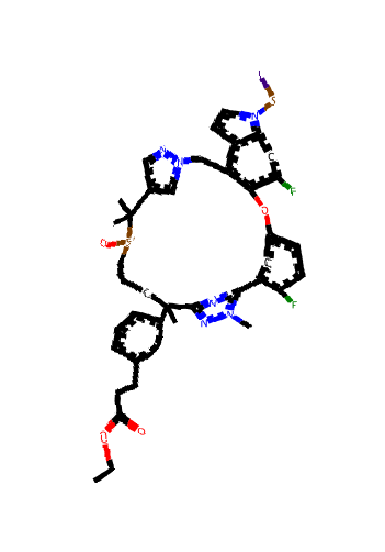 CCOC(=O)CCc1cccc(C2(C)CCC[S+]([O-])C(C)(C)c3cnn(c3)Cc3c(c(F)cc4c3ccn4SI)Oc3ccc(F)c(c3)-c3nc2nn3C)c1